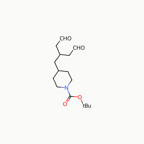 CC(C)(C)OC(=O)N1CCC(CC(CC=O)CC=O)CC1